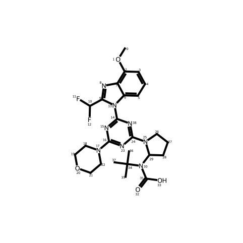 COc1cccc2c1nc(C(F)F)n2-c1nc(N2CCOCC2)nc(N2CCCC2N(C(=O)O)C(C)(C)C)n1